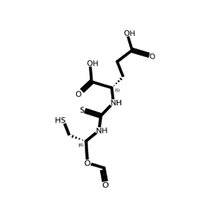 O=CO[C@H](CS)NC(=S)N[C@@H](CCC(=O)O)C(=O)O